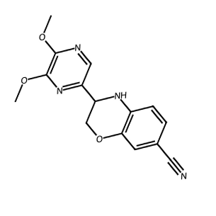 COc1ncc(C2COc3cc(C#N)ccc3N2)nc1OC